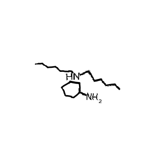 CCCCCCNCCCCCC.NC1CCCCC1